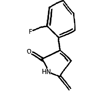 C=C1C=C(c2ccccc2F)C(=O)N1